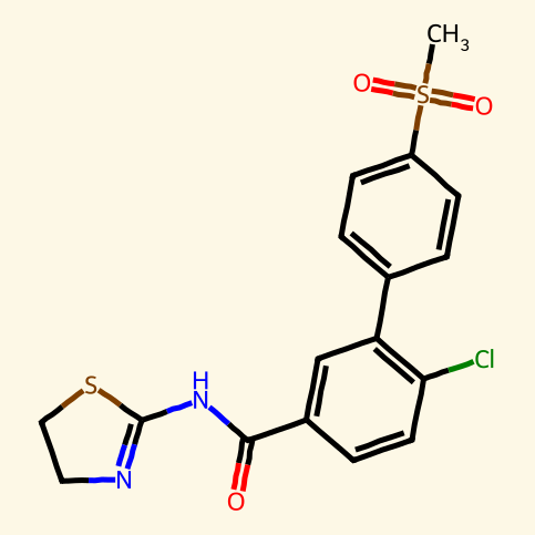 CS(=O)(=O)c1ccc(-c2cc(C(=O)NC3=NCCS3)ccc2Cl)cc1